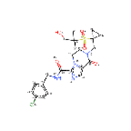 CC(C)(CO)S(=O)(=O)C1(CN2CCn3c(cnc3C(=O)NCc3ccc(Cl)cc3)C2=O)CC1